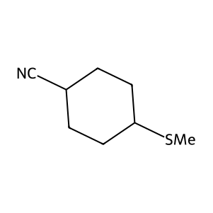 CSC1CCC(C#N)CC1